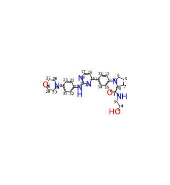 O=C(NCCO)[C@@H]1CCCN1c1ccc(-c2ccnc(Nc3ccc(N4CCOCC4)cc3)n2)cc1